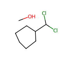 CO.ClC(Cl)C1CCCCC1